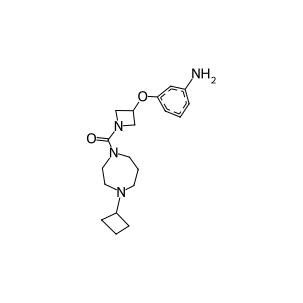 Nc1cccc(OC2CN(C(=O)N3CCCN(C4CCC4)CC3)C2)c1